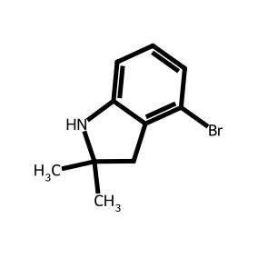 CC1(C)Cc2c(Br)cccc2N1